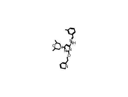 Cc1cccc(C=NNc2cc(N3CC(C)OC(C)C3)nc(OCCc3ccccn3)n2)c1